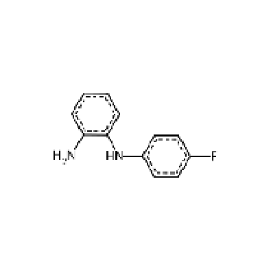 Nc1ccccc1Nc1ccc(F)cc1